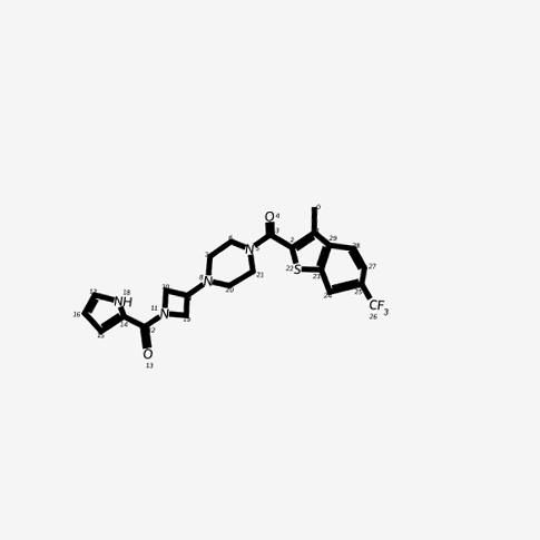 Cc1c(C(=O)N2CCN(C3CN(C(=O)c4ccc[nH]4)C3)CC2)sc2cc(C(F)(F)F)ccc12